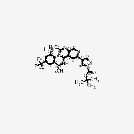 Cc1nc(N[C@H](C)c2cc(N)cc(C(F)(F)F)c2)c2cc(-c3cnn(C(=O)OC(C)(C)C)c3)ncc2n1